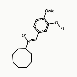 CCOc1cc(C=[N+]([O-])C2CCCCCCC2)ccc1OC